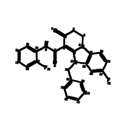 O=C1CCN2C(=C1C(=O)Nc1ccccc1F)N(Cc1cccnc1)c1cc(F)ccc12